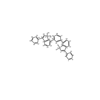 CS1(C)C=C(c2ccccc2)c2cccc(-c3cccc(-c4cccc5c4S(C)(C)C=C5c4ccccc4)c3)c21